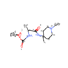 CCC(NC(=O)OC(C)(C)C)C(=O)NC1(C)CCN(C(C)C)CC1